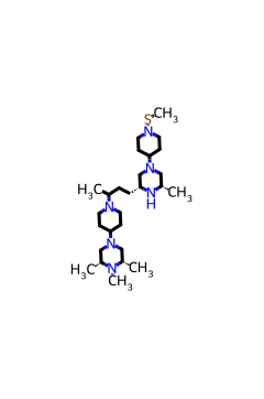 CSN1CCC(N2C[C@@H](CCC(C)N3CCC(N4C[C@@H](C)N(C)[C@@H](C)C4)CC3)N[C@@H](C)C2)CC1